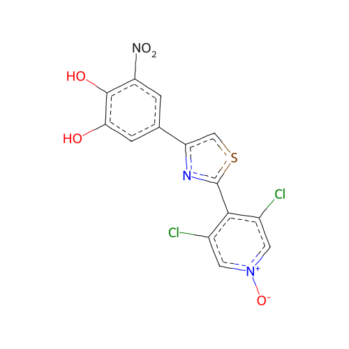 O=[N+]([O-])c1cc(-c2csc(-c3c(Cl)c[n+]([O-])cc3Cl)n2)cc(O)c1O